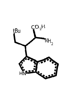 CC(C)(C)CC(c1c[nH]c2ccccc12)C(N)C(=O)O